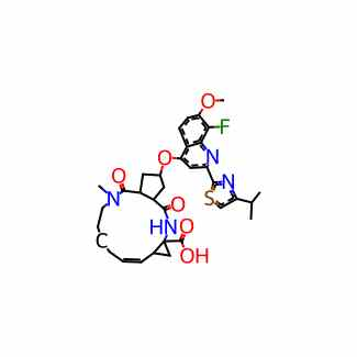 COc1ccc2c(OC3CC4C(=O)NC5(C(=O)O)CC5/C=C\CCCCN(C)C(=O)C4C3)cc(-c3nc(C(C)C)cs3)nc2c1F